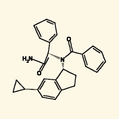 NC(=O)[C@H](c1ccccc1)N(C(=O)c1ccccc1)[C@@H]1CCc2ccc(C3CC3)cc21